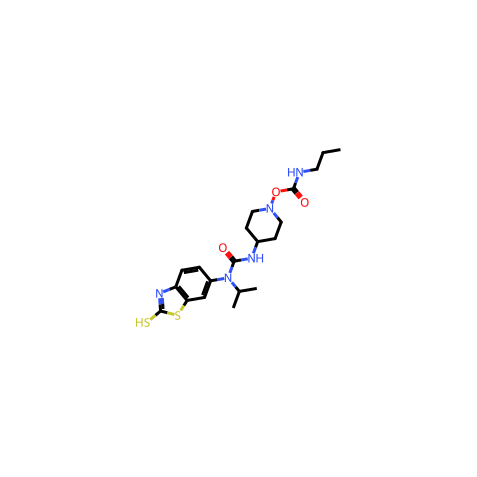 CCCNC(=O)ON1CCC(NC(=O)N(c2ccc3nc(S)sc3c2)C(C)C)CC1